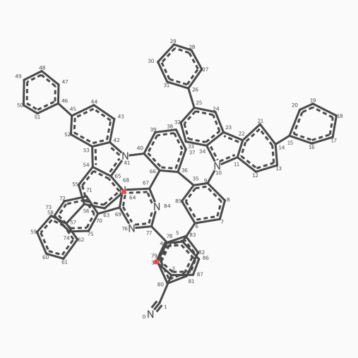 N#Cc1ccc(-c2ccc(-n3c4ccc(-c5ccccc5)cc4c4cc(-c5ccccc5)ccc43)c(-c3cccc(-n4c5ccc(-c6ccccc6)cc5c5cc(-c6ccccc6)ccc54)c3-c3nc(-c4ccccc4)nc(-c4ccccc4)n3)c2)cc1